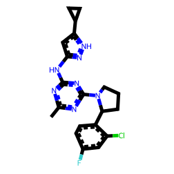 Cc1nc(Nc2cc(C3CC3)[nH]n2)nc(N2CCCC2c2ccc(F)cc2Cl)n1